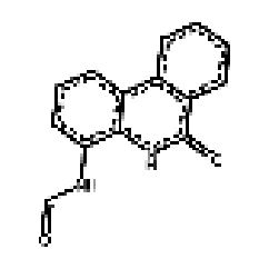 O=CNc1cccc2c1[nH]c(=O)c1ccccc12